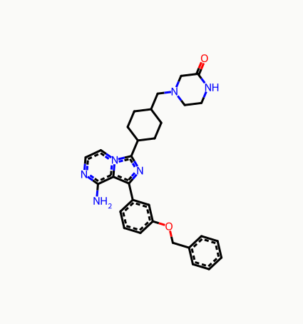 Nc1nccn2c(C3CCC(CN4CCNC(=O)C4)CC3)nc(-c3cccc(OCc4ccccc4)c3)c12